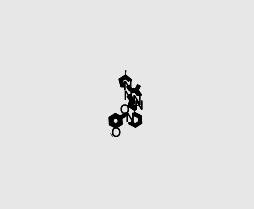 COc1cccc(C(=O)N2CCCC[C@H]2c2cc3nc(N4CC[C@H](C)C4)c(C)cn3n2)c1